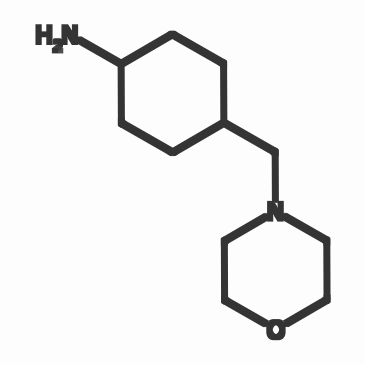 NC1CCC(CN2CCOCC2)CC1